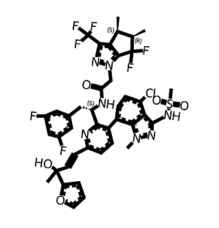 C[C@@H]1c2c(C(F)(F)F)nn(CC(=O)N[C@@H](Cc3cc(F)cc(F)c3)c3nc(C#CC(C)(O)c4ccco4)ccc3-c3ccc(Cl)c4c(NS(C)(=O)=O)nn(C)c34)c2C(F)(F)[C@@H]1C